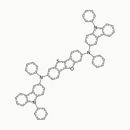 c1ccc(N(c2ccc3c(c2)oc2c4ccc(N(c5ccccc5)c5ccc6c(c5)c5ccccc5n6-c5ccccc5)cc4sc32)c2ccc3c(c2)c2ccccc2n3-c2ccccc2)cc1